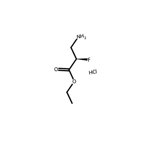 CCOC(=O)[C@H](F)CN.Cl